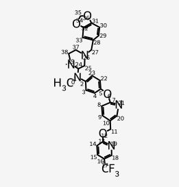 CN(c1ccc(Oc2ccc(COc3ccc(C(F)(F)F)cn3)cn2)cc1)C1CN(Cc2ccc3c(c2)OCO3)CC[N]1